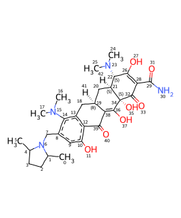 CC1CCC(C)N1Cc1cc(O)c2c(c1N(C)C)C[C@H]1C[C@H]3[C@H](N(C)C)C(O)=C(C(N)=O)C(=O)[C@@]3(O)C(O)=C1C2=O